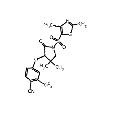 Cc1nc(C)c(S(=O)(=O)N2CC(C)(C)C(Oc3ccc(C#N)c(C(F)(F)F)c3)C2=O)s1